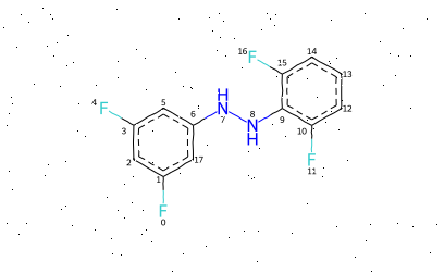 Fc1cc(F)cc(NNc2c(F)cccc2F)c1